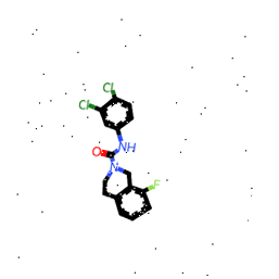 O=C(Nc1ccc(Cl)c(Cl)c1)N1CCc2cccc(F)c2C1